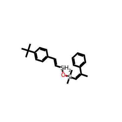 CC(=C[Si](C)(C)O[SiH2]C=Cc1ccc(C(C)(C)C)cc1)c1ccccc1